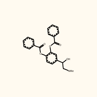 CNCC(O)c1ccc(OC(=O)c2ccccc2)c(OC(=O)c2ccccc2)c1